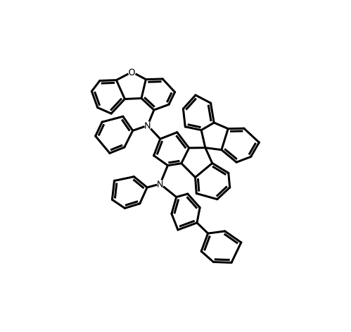 c1ccc(-c2ccc(N(c3ccccc3)c3cc(N(c4ccccc4)c4cccc5oc6ccccc6c45)cc4c3-c3ccccc3C43c4ccccc4-c4ccccc43)cc2)cc1